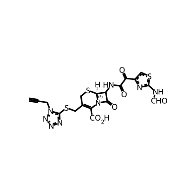 C#CCn1nnnc1SCC1=C(C(=O)O)N2C(=O)C(NC(=O)C(=O)c3csc(NC=O)n3)[C@@H]2SC1